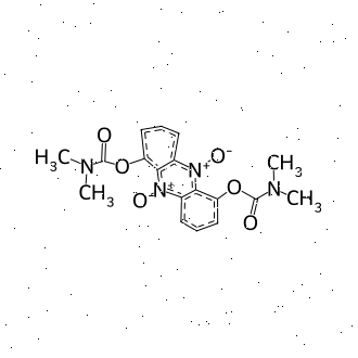 CN(C)C(=O)Oc1cccc2c1[n+]([O-])c1cccc(OC(=O)N(C)C)c1[n+]2[O-]